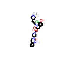 CN1CCC(C=C=C=NC(=O)[C@@H](Cc2ccc(O)c(Cl)c2)OC(=O)N2CCC(N3CCc4ccccc4NC3=O)CC2)CC1